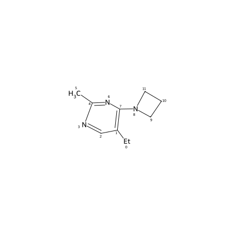 CCc1cnc(C)nc1N1CCC1